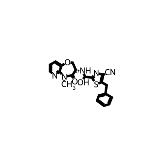 CN1C(=O)[C@@H](NC(O)c2nc(C#N)c(Cc3ccccc3)s2)COc2cccnc21